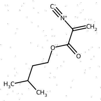 [C-]#[N+]C(=C)C(=O)OCCC(C)C